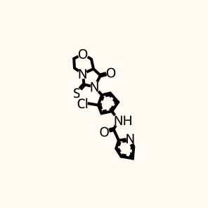 O=C(Nc1ccc(N2C(=O)C3COCCN3C2=S)c(Cl)c1)c1ccccn1